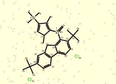 [CH2]=[Zr+2]([C]1=C(C)C([Si](C)(C)C)=CC1C)[c]1c(C(C)(C)C)ccc2c1Cc1cc(C(C)(C)C)ccc1-2.[Cl-].[Cl-]